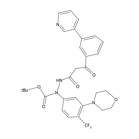 CC(C)(C)OC(=O)N(NC(=O)CC(=O)c1cccc(-c2cccnc2)c1)c1ccc(C(F)(F)F)c(N2CCOCC2)c1